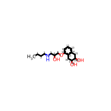 CCCCNCC(O)COc1cccc2c1CC(O)C(O)C2